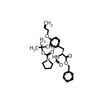 C=CCOc1ccc(C[C@H](NC(=O)[C@@H]2CCCN2C(=O)OC(C)(C)C)C(=O)OCc2ccccc2)cc1